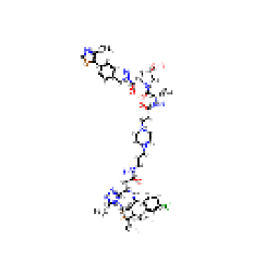 Cc1ncsc1-c1ccc(CNC(=O)[C@@H]2C[C@@H](O)CN2C(=O)[C@@H](NC(=O)CCN2CCN(CCCNC(=O)CC3N=C(c4ccc(Cl)cc4)c4c(sc(C)c4C)-n4c(C)nnc43)CC2)C(C)(C)C)cc1